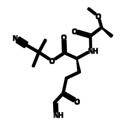 CO[C@@H](C)C(=O)N[C@@H](CCC(=O)C=N)C(=O)OC(C)(C)C#N